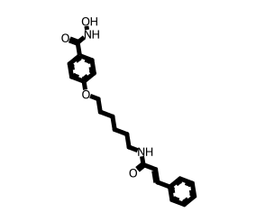 O=C(/C=C/c1ccccc1)NCCCCCCOc1ccc(C(=O)NO)cc1